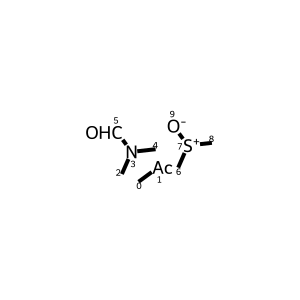 CC(C)=O.CN(C)C=O.C[S+](C)[O-]